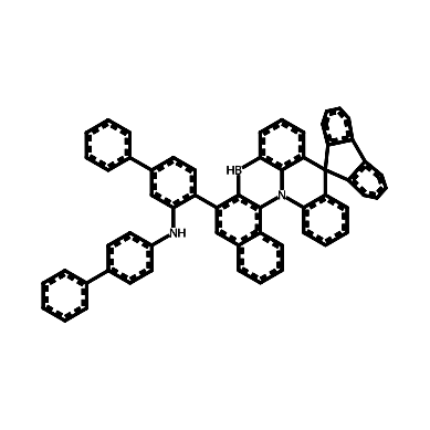 B1c2cccc3c2N(c2ccccc2C32c3ccccc3-c3ccccc32)c2c1c(-c1ccc(-c3ccccc3)cc1Nc1ccc(-c3ccccc3)cc1)cc1ccccc21